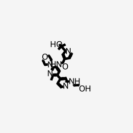 Cc1nc(N2CCOCC2)c(NC(=O)c2ccnc(C(C)(C)O)c2)cc1-c1ccnc(NCCO)c1